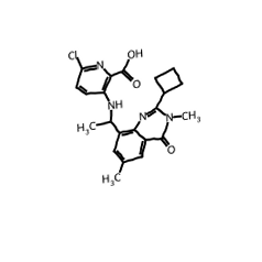 Cc1cc(C(C)Nc2ccc(Cl)nc2C(=O)O)c2nc(C3CCC3)n(C)c(=O)c2c1